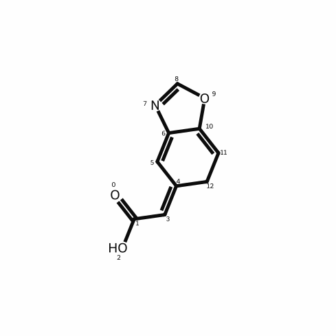 O=C(O)C=C1C=c2ncoc2=CC1